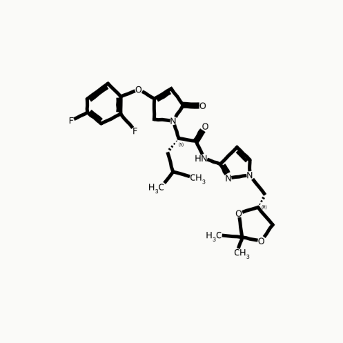 CC(C)C[C@@H](C(=O)Nc1ccn(C[C@@H]2COC(C)(C)O2)n1)N1CC(Oc2ccc(F)cc2F)=CC1=O